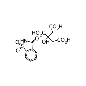 O=C(O)CC(O)(CC(=O)O)C(=O)O.O=C1NS(=O)(=O)c2ccccc21